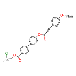 CCCCCCCCCOc1ccc(C#CC(=O)Oc2ccc(-c3ccc(C(=O)OC[C@H](C)Cl)cc3)cc2)cc1